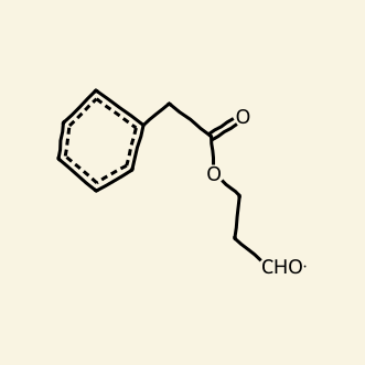 O=[C]CCOC(=O)Cc1ccccc1